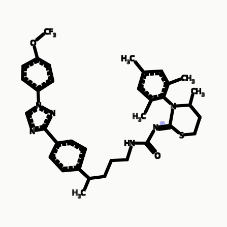 Cc1cc(C)c(N2/C(=N/C(=O)NCCCC(C)c3ccc(-c4ncn(-c5ccc(OC(F)(F)F)cc5)n4)cc3)SCCC2C)c(C)c1